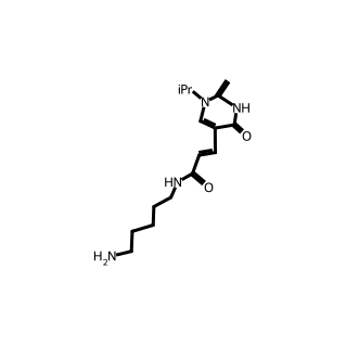 C=C1NC(=O)C(/C=C/C(=O)NCCCCCN)=CN1C(C)C